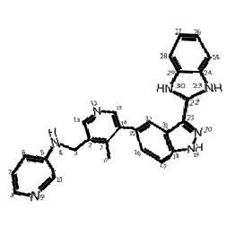 Cc1c(CNc2cccnc2)cncc1-c1ccc2[nH]nc(C3Nc4ccccc4N3)c2c1